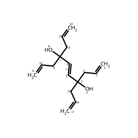 C=CCC(O)(/C=C/C(O)(CC=C)CC=C)CC=C